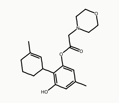 CC1=CC(c2c(O)cc(C)cc2OC(=O)CN2CCOCC2)CCC1